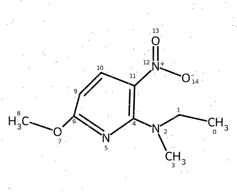 CCN(C)c1nc(OC)ccc1[N+](=O)[O-]